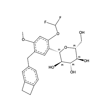 COc1cc(OC(F)F)c([C@@H]2O[C@H](CO)[C@@H](O)[C@H](O)[C@H]2O)cc1Cc1ccc2c(c1)CC2